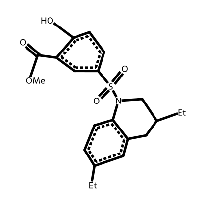 CCc1ccc2c(c1)CC(CC)CN2S(=O)(=O)c1ccc(O)c(C(=O)OC)c1